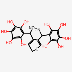 O=NC(C1=CCCC=C1C(N=O)c1c(O)c(O)c(O)c(O)c1O)c1c(O)c(O)c(O)c(O)c1O